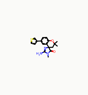 CN1C(=O)C2(CC(C)(C)Oc3ccc(-c4ccsc4)cc32)N=C1N